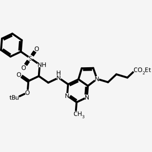 CCOC(=O)CCCn1ccc2c(NCC(NS(=O)(=O)c3ccccc3)C(=O)OC(C)(C)C)nc(C)nc21